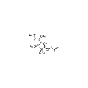 C=CCO[C@@H]1O[C@@H]([C@@H](COC(C)=O)OC(C)=O)C(OC(C)=O)[C@@H]1OC(C)=O